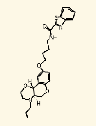 CCCN1CCO[C@@H]2c3cc(OCCCCNC(=O)c4nc5ccccc5s4)ccc3OC[C@H]21